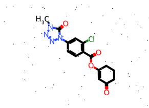 Cn1nnn(-c2ccc(C(=O)OC3=CC(=O)CCC3)c(Cl)c2)c1=O